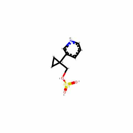 O=[SH](=O)OCC1(c2cccnc2)CC1